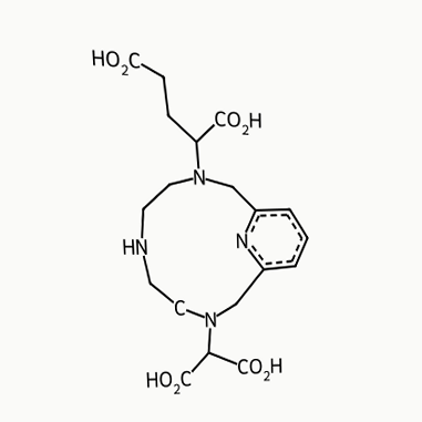 O=C(O)CCC(C(=O)O)N1CCNCCN(C(C(=O)O)C(=O)O)Cc2cccc(n2)C1